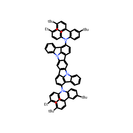 CCc1ccc(N(c2ccc(C(C)(C)C)cc2-c2ccc(C(C)(C)C)cc2)c2ccc3c4cc5c(cc4n4c6ccccc6c2c34)c2ccc(N(c3ccc(CC)cc3)c3ccc(C(C)(C)C)cc3-c3ccc(C(C)(C)C)cc3)c3c4ccccc4n5c23)cc1